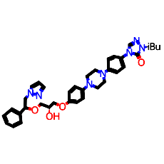 CC[C@H](C)n1ncn(-c2ccc(N3CCN(c4ccc(OC[C@H](O)COC(Cn5cccn5)c5ccccc5)cc4)CC3)cc2)c1=O